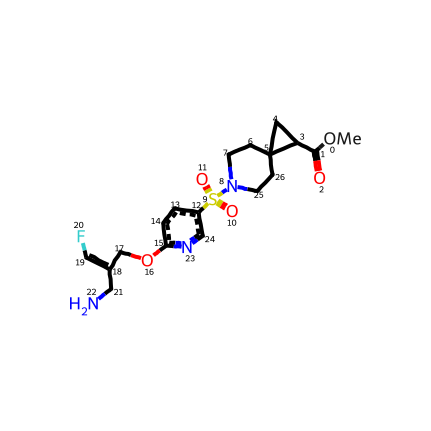 COC(=O)C1CC12CCN(S(=O)(=O)c1ccc(OC/C(=C\F)CN)nc1)CC2